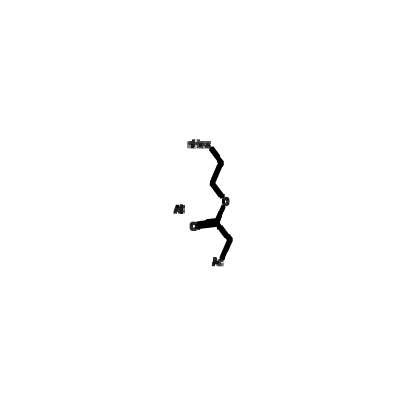 CCCCCCCCOC(=O)CC(C)=O.[Al]